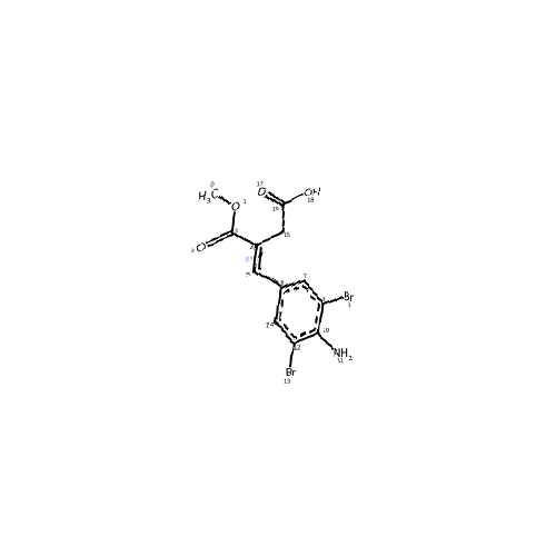 COC(=O)/C(=C/c1cc(Br)c(N)c(Br)c1)CC(=O)O